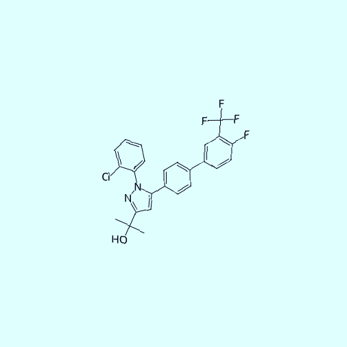 CC(C)(O)c1cc(-c2ccc(-c3ccc(F)c(C(F)(F)F)c3)cc2)n(-c2ccccc2Cl)n1